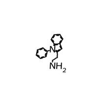 NCCc1cc2ccccc2n1-c1ccccc1